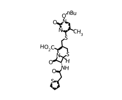 CCCCOn1cc(C)c(SCC2=C(C(=O)O)N3C(=O)[C@@H](NC(=O)Cc4cccs4)[C@H]3SC2)nc1=O